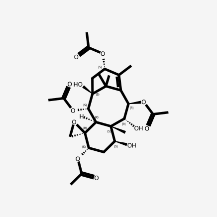 CC(=O)O[C@H]1C[C@@]2(O)[C@@H](OC(C)=O)[C@@H]3[C@@]4(CO4)[C@@H](OC(C)=O)C[C@H](O)[C@@]3(C)[C@@H](O)[C@H](OC(C)=O)C(=C1C)C2(C)C